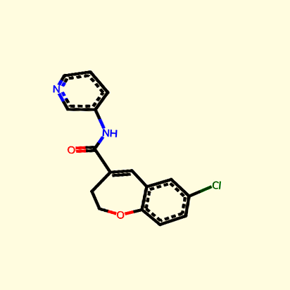 O=C(Nc1cccnc1)C1=Cc2cc(Cl)ccc2OCC1